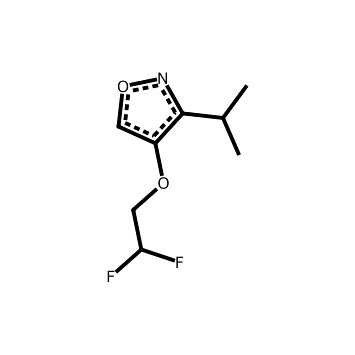 CC(C)c1nocc1OCC(F)F